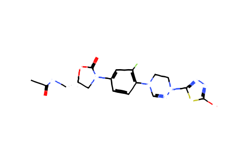 CC(=O)NC[C@H]1CN(c2ccc(N3C=NN(c4nnc(O)s4)CC3)c(F)c2)C(=O)O1